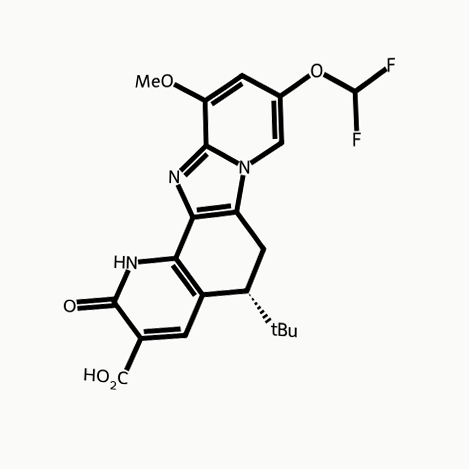 COc1cc(OC(F)F)cn2c3c(nc12)-c1[nH]c(=O)c(C(=O)O)cc1[C@@H](C(C)(C)C)C3